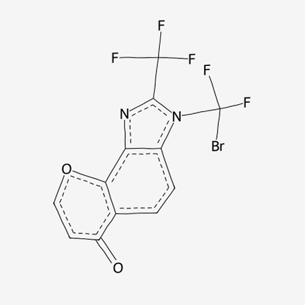 O=c1ccoc2c1ccc1c2nc(C(F)(F)F)n1C(F)(F)Br